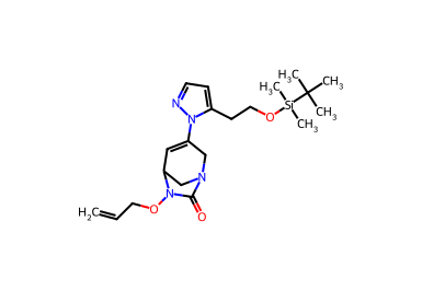 C=CCON1C(=O)N2CC(n3nccc3CCO[Si](C)(C)C(C)(C)C)=CC1C2